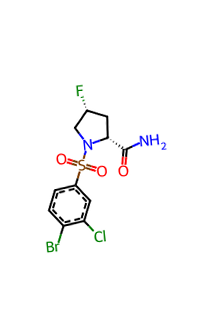 NC(=O)[C@H]1C[C@@H](F)CN1S(=O)(=O)c1ccc(Br)c(Cl)c1